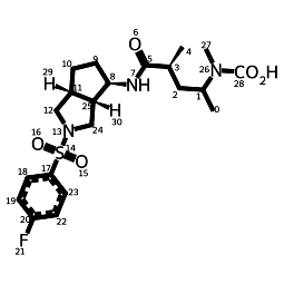 CC(C[C@H](C)C(=O)N[C@@H]1CC[C@H]2CN(S(=O)(=O)c3ccc(F)cc3)C[C@H]21)N(C)C(=O)O